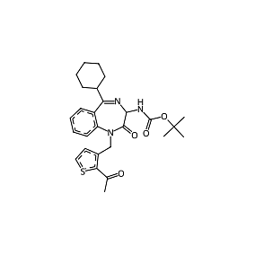 CC(=O)c1sccc1CN1C(=O)C(NC(=O)OC(C)(C)C)N=C(C2CCCCC2)c2ccccc21